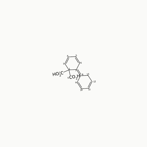 O=C(O)C1(C(=O)O)C=CC=CC1=C1C=CC=CC1